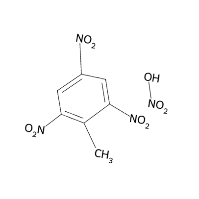 Cc1c([N+](=O)[O-])cc([N+](=O)[O-])cc1[N+](=O)[O-].O=[N+]([O-])O